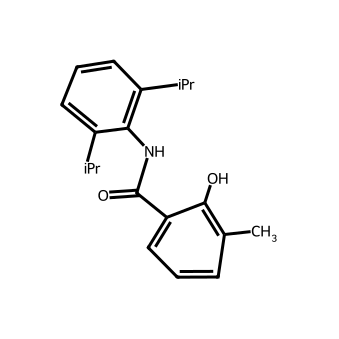 Cc1cccc(C(=O)Nc2c(C(C)C)cccc2C(C)C)c1O